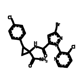 NC(=O)C1(NC(=O)c2cc(Br)nn2-c2ncccc2Cl)CC1c1ccc(Cl)cc1